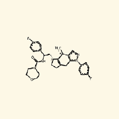 C[C@@H]1C2=C(CC[C@@H]2CC(NC(=O)N2CCOCC2)c2ccc(F)cc2)Cc2c1cnn2-c1ccc(F)cc1